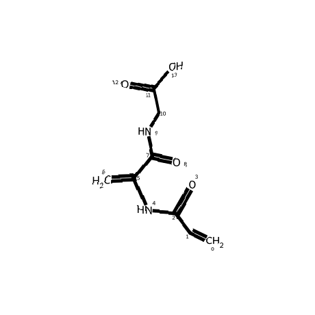 C=CC(=O)NC(=C)C(=O)NCC(=O)O